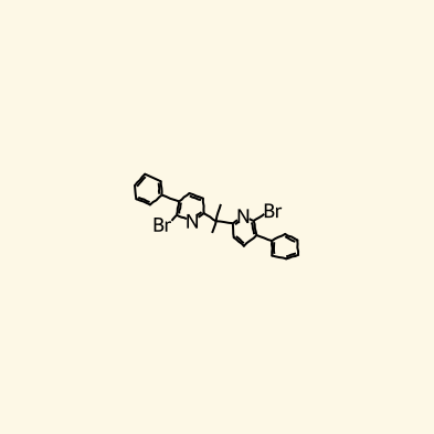 CC(C)(c1ccc(-c2ccccc2)c(Br)n1)c1ccc(-c2ccccc2)c(Br)n1